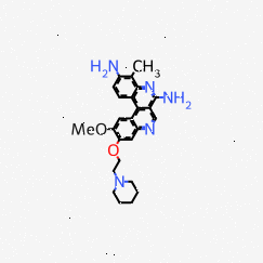 COc1cc2c(cc1OCCN1CCCCC1)ncc1c(N)nc3c(C)c(N)ccc3c12